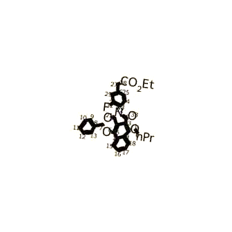 CCCOc1c2c(c(OCc3ccccc3)c3ccccc13)C(=O)N(c1ccc(CC(=O)OCC)cc1F)C2=O